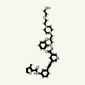 Cc1ccoc1C(=O)Nc1cccc(C#Cc2cncc(C(=O)N=S(CCCN3CCN(CCOCCO)CC3)c3ccccc3O)c2)c1